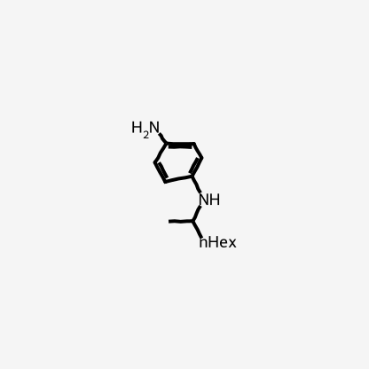 CCCCCCC(C)Nc1ccc(N)cc1